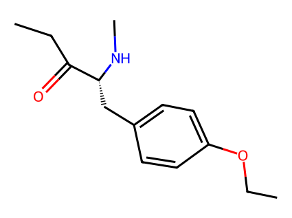 CCOc1ccc(C[C@@H](NC)C(=O)CC)cc1